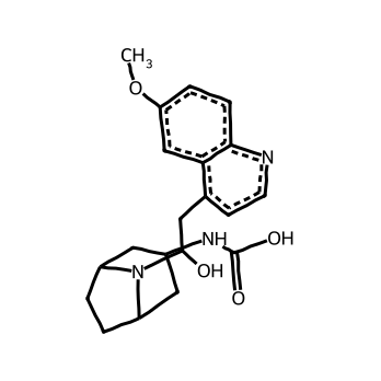 COc1ccc2nccc(CC(O)N3C4CCC3CC(NC(=O)O)C4)c2c1